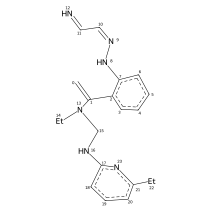 C=C(c1ccccc1N/N=C\C=N)N(CC)CNc1cccc(CC)n1